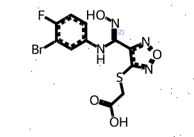 O=C(O)CSc1nonc1/C(=N/O)Nc1ccc(F)c(Br)c1